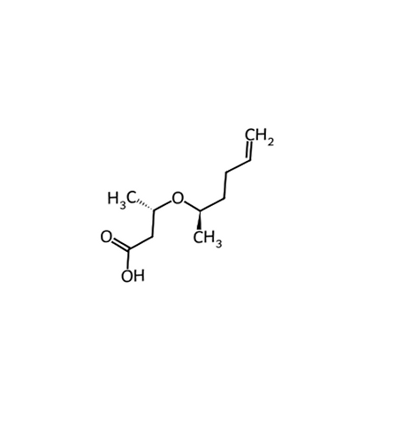 C=CCC[C@@H](C)O[C@@H](C)CC(=O)O